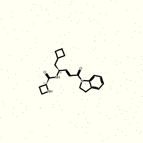 O=C(N[C@H](C=CC(=O)N1CCc2ccccc21)CC1CCC1)[C@@H]1CCN1